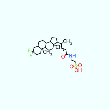 CC(CCC(=O)NCCS(=O)(=O)O)C1CCC2C3CCC4CC(F)(F)CCC4(C)C3CCC12C